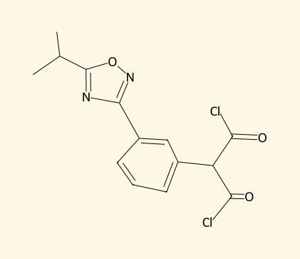 CC(C)c1nc(-c2cccc(C(C(=O)Cl)C(=O)Cl)c2)no1